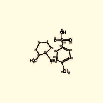 CC1CCCCC1N.Cc1ccc(S(=O)(=O)O)cc1